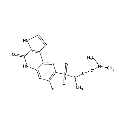 CN(C)CCN(C)S(=O)(=O)c1cc2c(cc1F)[nH]c(=O)c1[nH]ccc12